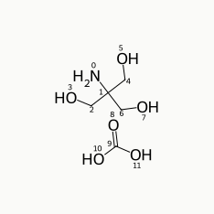 NC(CO)(CO)CO.O=C(O)O